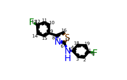 Fc1ccc(Nc2nc(-c3ccc(F)cc3)cs2)cc1